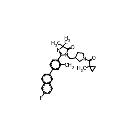 Cc1cc(-c2ccc3cc(F)ccc3c2)ccc1C1=NC(C)(C)C(=O)N1CC1CCN(C(=O)C2(C)CC2)C1